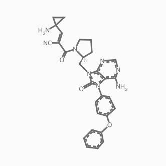 N#CC(=CC1(N)CC1)C(=O)N1CCC[C@H]1Cn1c(=O)n(-c2ccc(Oc3ccccc3)cc2)c2c(N)ncnc21